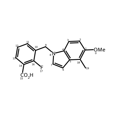 COc1ccc2c(ccn2Cc2cccc(C(=O)O)c2F)c1C